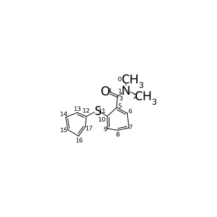 CN(C)C(=O)c1ccccc1Sc1ccccc1